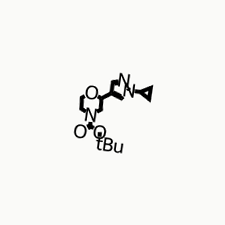 CC(C)(C)OC(=O)N1CCOC(c2cnn(C3CC3)c2)C1